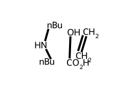 C=C.CCCCNCCCC.O=C(O)O